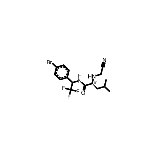 CC(C)C[C@H](NCC#N)C(=O)NC(c1ccc(Br)cc1)C(F)(F)F